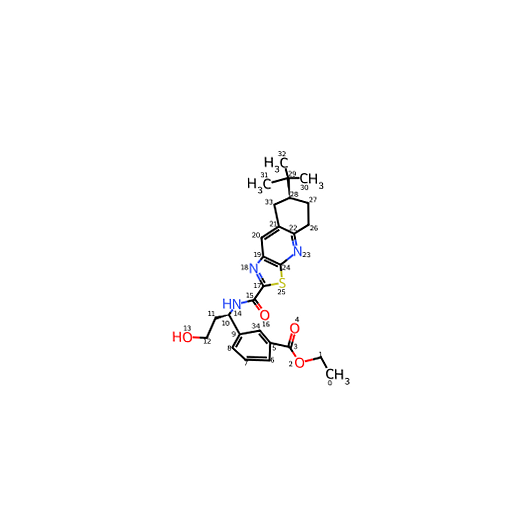 CCOC(=O)c1cccc([C@@H](CCO)NC(=O)c2nc3cc4c(nc3s2)CC[C@H](C(C)(C)C)C4)c1